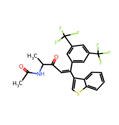 CC(=O)NC(C)C(=O)C=C(c1cc(C(F)(F)F)cc(C(F)(F)F)c1)c1csc2ccccc12